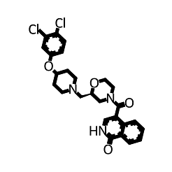 O=C(c1c[nH]c(=O)c2ccccc12)N1CCO[C@H](CN2CCC(Oc3ccc(Cl)c(Cl)c3)CC2)C1